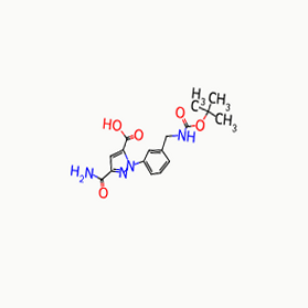 CC(C)(C)OC(=O)NCc1cccc(-n2nc(C(N)=O)cc2C(=O)O)c1